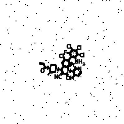 C=CC(=O)N1CCN(C2=C(C#N)C(O)N(c3c(C)ccnc3C(C)C)c3nc(-c4c(N)c(Cl)c(Cl)c(Cl)c4F)c(Cl)cc32)C[C@H]1C